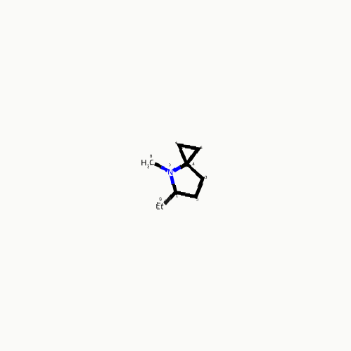 CCC1CCC2(CC2)N1C